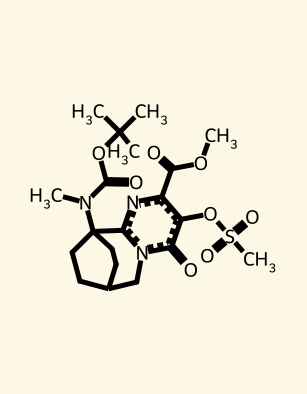 COC(=O)c1nc2n(c(=O)c1OS(C)(=O)=O)CC1CCC2(N(C)C(=O)OC(C)(C)C)CC1